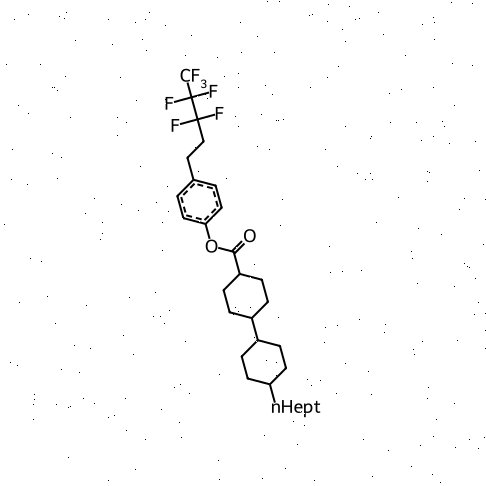 CCCCCCCC1CCC(C2CCC(C(=O)Oc3ccc(CCC(F)(F)C(F)(F)C(F)(F)F)cc3)CC2)CC1